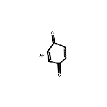 O=C1C=CC(=O)C=C1.[H+]